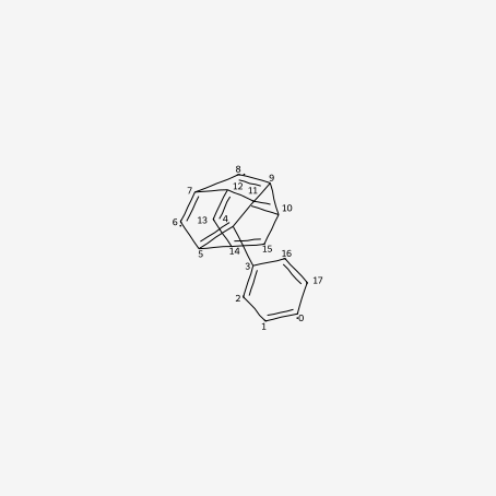 [c]1ccc(-c2c3[c]c4[c]c2c2cc4cc3c2)cc1